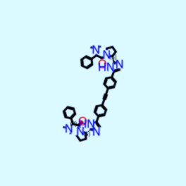 CN(C)C(C(=O)N1CCC[C@H]1c1ncc(-c2ccc(C#Cc3ccc(-c4cnc([C@@H]5CCCN5C(=O)[C@@H](c5ccccc5)N(C)C)[nH]4)cc3)cc2)[nH]1)c1ccccc1